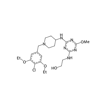 CCOc1cc(CN2CCC(Nc3nc(NCCO)nc(OC)n3)CC2)cc(OCC)c1Cl